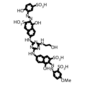 COc1ccc(N=Nc2c(S(=O)(=O)O)cc3cc(Nc4nc(NCCO)nc(Nc5ccc6c(O)c(N=Nc7cc(S(=O)(=O)O)ccc7O)c(S(=O)(=O)O)cc6c5)n4)ccc3c2O)c(S(=O)(=O)O)c1